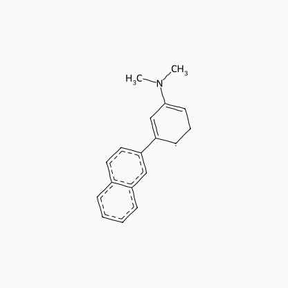 CN(C)C1=CC[CH]C(c2ccc3ccccc3c2)=C1